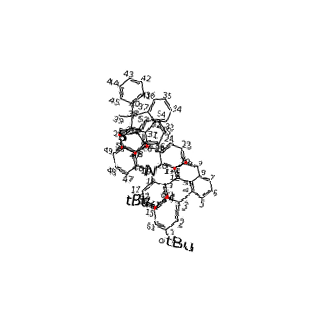 CC(C)(C)c1cc(-c2cccc3cccc(-c4ccccc4N(c4ccccc4-c4cccc5c4-c4ccccc4C5(C)c4ccccc4)c4cccc5sc6ccccc6c45)c23)cc(C(C)(C)C)c1